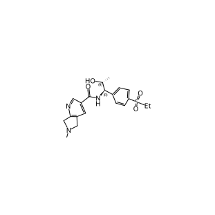 CCS(=O)(=O)c1ccc([C@@H](NC(=O)c2cnc3c(c2)CN(C)C3)[C@@H](C)O)cc1